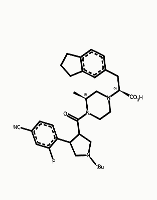 C[C@H]1CN([C@@H](Cc2ccc3c(c2)CCC3)C(=O)O)CCN1C(=O)C1CN(C(C)(C)C)CC1c1ccc(C#N)cc1F